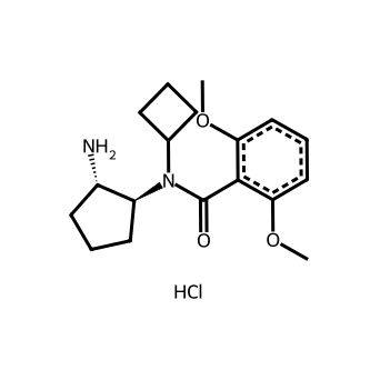 COc1cccc(OC)c1C(=O)N(C1CCC1)[C@H]1CCC[C@@H]1N.Cl